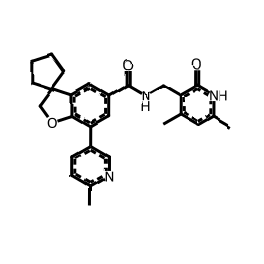 Cc1ccc(-c2cc(C(=O)NCc3c(C)cc(C)[nH]c3=O)cc3c2OCC32CCCC2)cn1